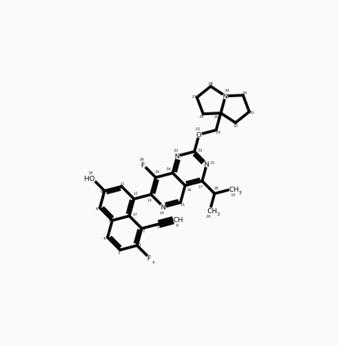 C#Cc1c(F)ccc2cc(O)cc(-c3ncc4c(C(C)C)nc(OCC56CCCN5CCC6)nc4c3F)c12